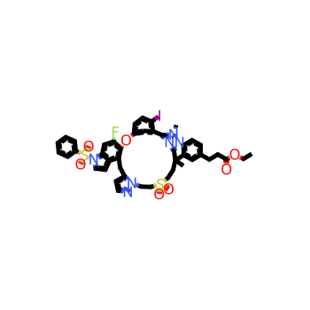 CCOC(=O)CCc1cccc(C2(C)CCS(=O)(=O)CCn3nccc3Cc3c(c(F)cc4c3ccn4S(=O)(=O)c3ccccc3)Oc3ccc(I)c(c3)-c3nc2nn3C)c1